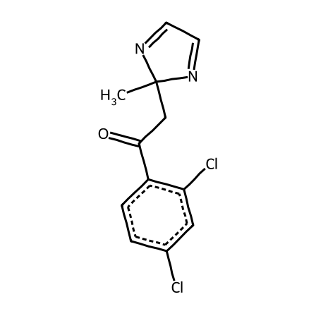 CC1(CC(=O)c2ccc(Cl)cc2Cl)N=CC=N1